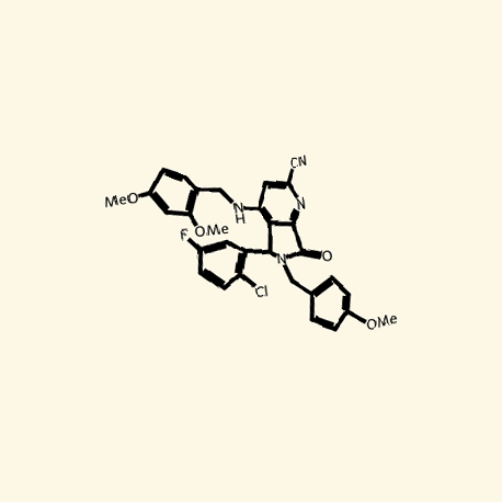 COc1ccc(CN2C(=O)c3nc(C#N)cc(NCc4ccc(OC)cc4OC)c3C2c2cc(F)ccc2Cl)cc1